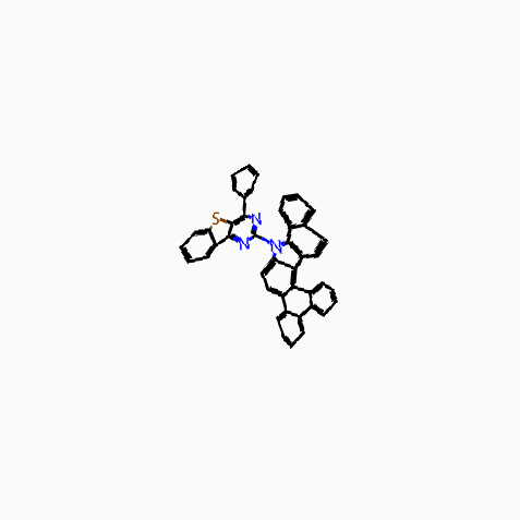 c1ccc(-c2nc(-n3c4ccc5c6ccccc6c6ccccc6c5c4c4ccc5ccccc5c43)nc3c2sc2ccccc23)cc1